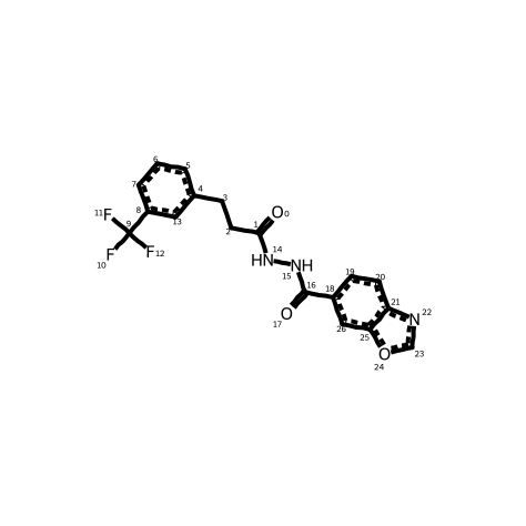 O=C(CCc1cccc(C(F)(F)F)c1)NNC(=O)c1ccc2ncoc2c1